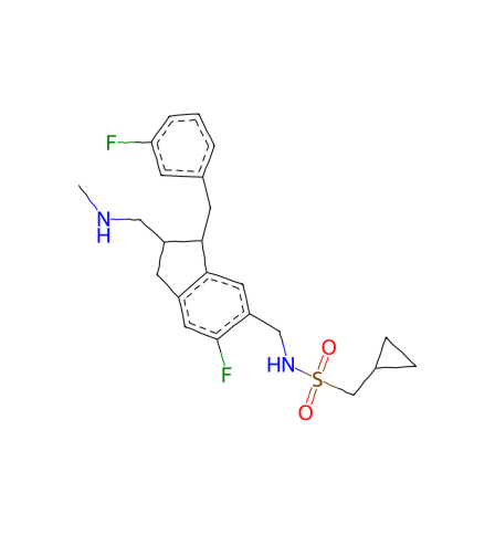 CNCC1Cc2cc(F)c(CNS(=O)(=O)CC3CC3)cc2C1Cc1cccc(F)c1